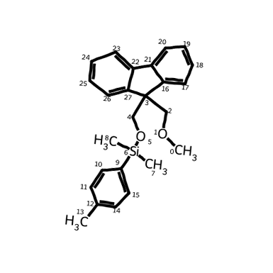 COCC1(CO[Si](C)(C)c2ccc(C)cc2)c2ccccc2-c2ccccc21